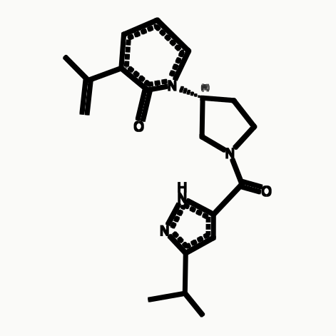 C=C(C)c1cccn([C@@H]2CCN(C(=O)c3cc(C(C)C)n[nH]3)C2)c1=O